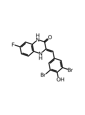 O=C1Nc2cc(F)ccc2N/C1=C\c1cc(Br)c(O)c(Br)c1